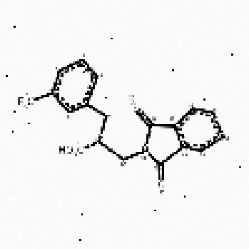 O=C(O)C(Cc1cccc(C(F)(F)F)c1)CN1C(=O)c2ccccc2C1=O